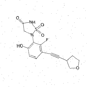 O=C1CN(c2c(O)ccc(C#CC3CCOC3)c2F)S(=O)(=O)N1